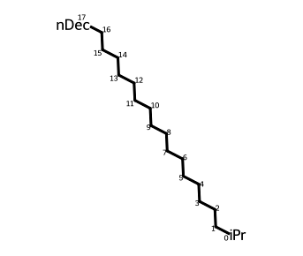 [CH2]C(C)CCCCCCCCCCCCCCCCCCCCCCCCCC